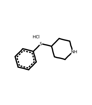 Cl.c1ccc(SC2CCNCC2)cc1